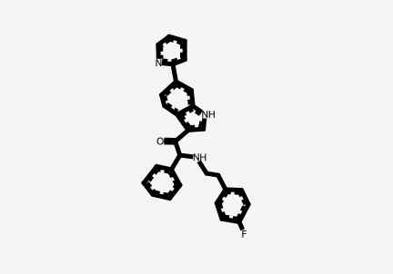 O=C(c1c[nH]c2cc(-c3ccccn3)ccc12)C(NCCc1ccc(F)cc1)c1ccccc1